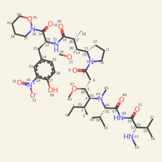 CC[C@H](C)[C@@H]([C@@H](CC(=O)N1CCC[C@H]1[C@H](OC)[C@@H](C)C(=O)N[C@@H](Cc1ccc(O)c([N+](=O)[O-])c1)C(=O)N1CCCCO1)OC)N(C)[C@H](C(=O)NC(=O)[C@@H](NC)C(C)C)C(C)C